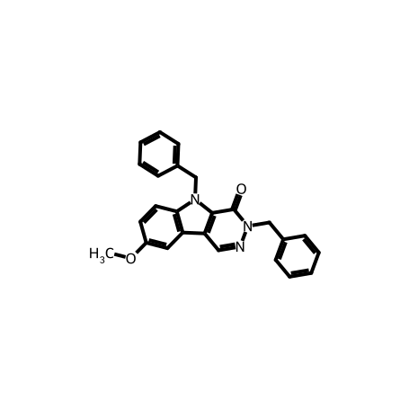 COc1ccc2c(c1)c1cnn(Cc3ccccc3)c(=O)c1n2Cc1ccccc1